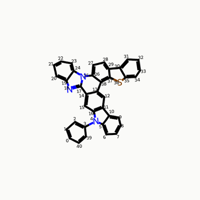 c1ccc(-n2c3ccccc3c3cc4c(cc32)c2nc3ccccc3n2c2ccc3c5ccccc5sc3c42)cc1